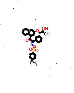 Cc1ccc(S(=O)(=O)O/N=C(/C(=O)c2cc(OCC(C)O)cc3ccccc23)c2ccccc2)cc1